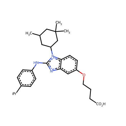 CC1CC(n2c(Nc3ccc(C(C)C)cc3)nc3cc(OCCCC(=O)O)ccc32)CC(C)(C)C1